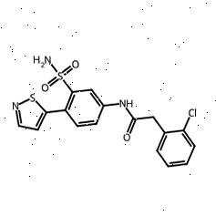 NS(=O)(=O)c1cc(NC(=O)Cc2ccccc2Cl)ccc1-c1ccns1